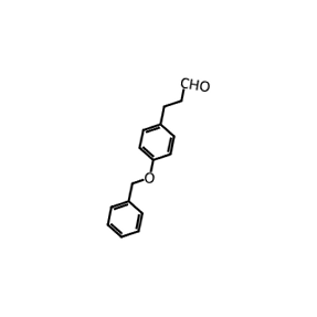 O=CCCc1ccc(OCc2ccccc2)cc1